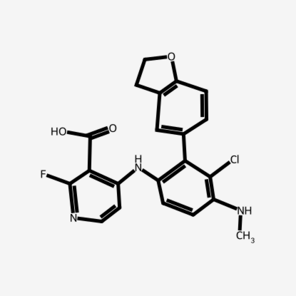 CNc1ccc(Nc2ccnc(F)c2C(=O)O)c(-c2ccc3c(c2)CCO3)c1Cl